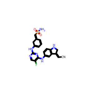 N#CC=C1CNc2ccc(Nc3nc(NC4=CC=CC(=CS(N)(=O)=O)C4)ncc3F)cc21